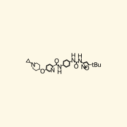 CC(C)(C)c1cc(NC(=O)Nc2ccc(NC(=O)c3ccc(OC4CCN(C5CC5)CC4)cn3)cc2)no1